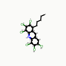 CCCCCc1c(Cl)c(Cl)c(Cl)c2nc3c(Cl)c(Cl)c(Cl)cc3cc12